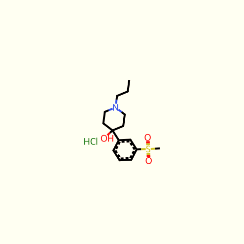 CCCN1CCC(O)(c2cccc(S(C)(=O)=O)c2)CC1.Cl